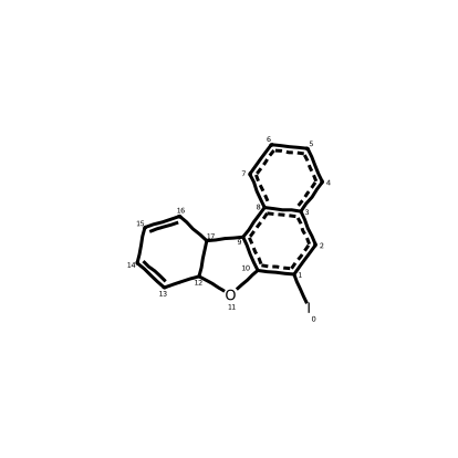 Ic1cc2ccccc2c2c1OC1C=CC=CC21